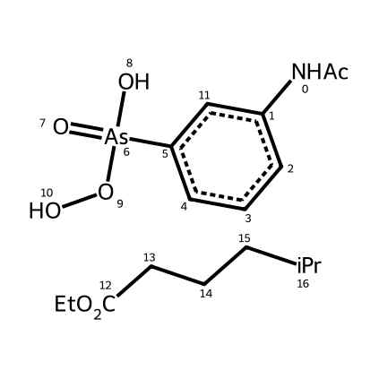 CC(=O)Nc1cccc([As](=O)(O)OO)c1.CCOC(=O)CCCC(C)C